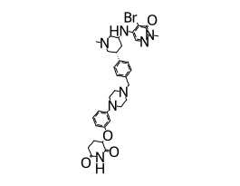 CN1C[C@H](Nc2cnn(C)c(=O)c2Br)C[C@H](c2ccc(CN3CCN(c4cccc(OC5CCC(=O)NC5=O)c4)CC3)cc2)C1